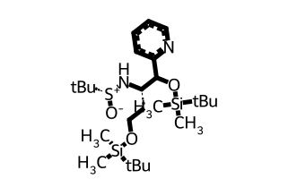 CC(C)(C)[S@@+]([O-])N[C@@H](CCO[Si](C)(C)C(C)(C)C)C(O[Si](C)(C)C(C)(C)C)c1ccccn1